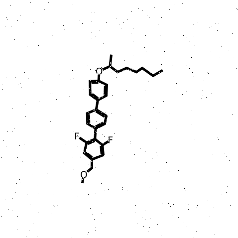 CCCCCCC(C)Oc1ccc(-c2ccc(-c3c(F)cc(COC)cc3F)cc2)cc1